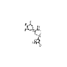 O=c1cc([C@@H]2CCN[C@H](c3cc(F)c(F)c(F)c3)C2)o[nH]1